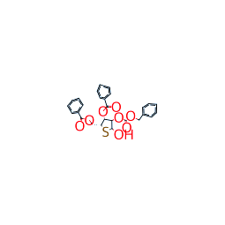 O=C(OCc1ccccc1)O[C@H]1C(O)S[C@H](COC(=O)c2ccccc2)[C@@H]1OC(=O)c1ccccc1